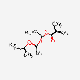 C=C(C)C(=O)OC(C)OC(C)OC(C)C